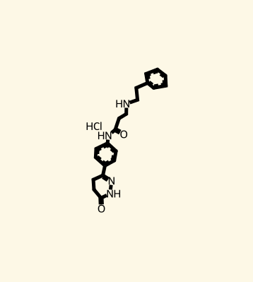 Cl.O=C1CCC(c2ccc(NC(=O)CCNCCc3ccccc3)cc2)=NN1